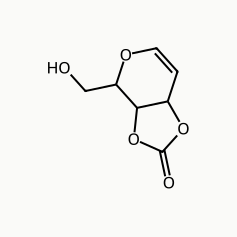 O=C1OC2C=COC(CO)C2O1